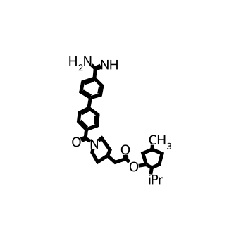 CC1CCC(C(C)C)C(OC(=O)CC2CCN(C(=O)c3ccc(-c4ccc(C(=N)N)cc4)cc3)CC2)C1